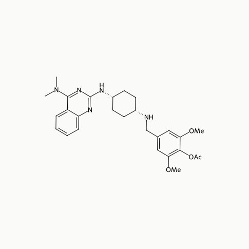 COc1cc(CN[C@H]2CC[C@@H](Nc3nc(N(C)C)c4ccccc4n3)CC2)cc(OC)c1OC(C)=O